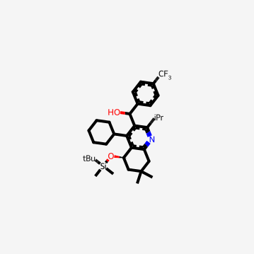 CC(C)c1nc2c(c(C3CCCCC3)c1C(O)c1ccc(C(F)(F)F)cc1)[C@H](O[Si](C)(C)C(C)(C)C)CC(C)(C)C2